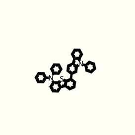 c1ccc(N(c2ccccc2)c2cccc3c2sc2c(-c4ccc5c6ccccc6n(-c6ccccc6)c5c4)cccc23)cc1